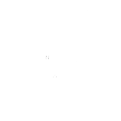 c1ccc(-c2ccc(N(c3ccccc3)c3cc(-c4cccc(-c5ccccc5)c4)cc4c3oc3c5ccccc5ccc43)cc2)cc1